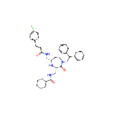 O=C(/C=C/c1ccc(Cl)cc1)NC[C@@H]1CCN(CC(c2ccccc2)c2ccccc2)C(=O)[C@H](CNC(=O)C2CCCCC2)N1